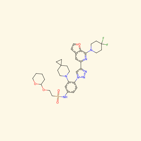 O=S(=O)(CCOC1CCCCO1)Nc1ccc(-n2cc(-c3cc4ccoc4c(N4CCC(F)(F)CC4)n3)nn2)c(N2CCC3(CC2)CC3)c1